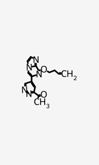 C=CCCOc1nc(-c2cnnc(C(C)=O)c2)cn2ccnc12